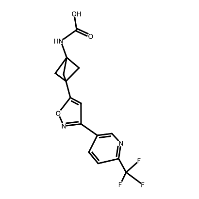 O=C(O)NC12CC(c3cc(-c4ccc(C(F)(F)F)nc4)no3)(C1)C2